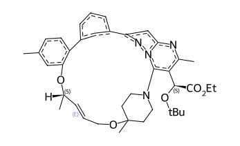 CCOC(=O)[C@@H](OC(C)(C)C)c1c(C)nc2cc3nn2c1N1CCC(C)(CC1)OC/C=C/[C@H](C)Oc1cc(C)ccc1-c1cccc-3c1